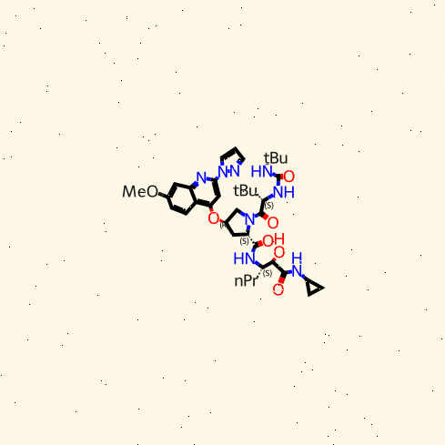 CCC[C@H](NC(=O)[C@@H]1C[C@@H](Oc2cc(-n3cccn3)nc3cc(OC)ccc23)CN1C(=O)[C@@H](NC(=O)NC(C)(C)C)C(C)(C)C)C(O)C(=O)NC1CC1